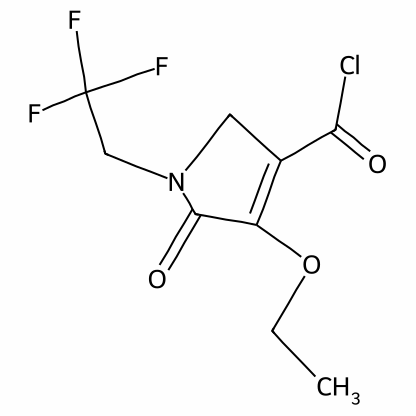 CCOC1=C(C(=O)Cl)CN(CC(F)(F)F)C1=O